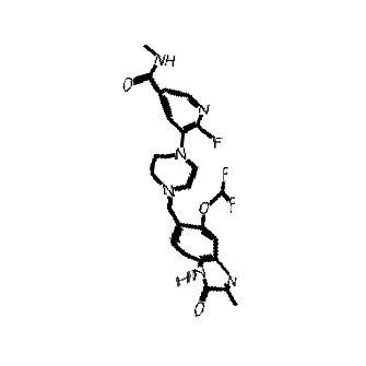 CNC(=O)c1cnc(F)c(N2CCN(Cc3cc4[nH]c(=O)c(C)nc4cc3OC(F)F)CC2)c1